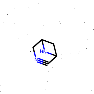 C1#[N+]CC2CC1N2